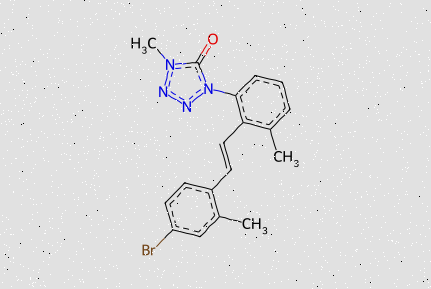 Cc1cc(Br)ccc1/C=C/c1c(C)cccc1-n1nnn(C)c1=O